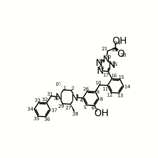 C[C@@H]1CN(c2cc(O)cc(Cc3ccccc3-c3nnn(CC(=O)O)n3)c2)[C@@H](C)CN1Cc1ccccc1